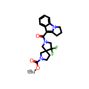 CC(C)(C)OC(=O)N1CCC2(C1)CN(C(=O)c1c3n(c4ccccc14)CCC3)CC2(F)F